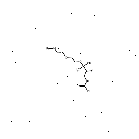 CC(C)NCCOCCOC(C)(C)C(F)CNC(=O)C(C)C